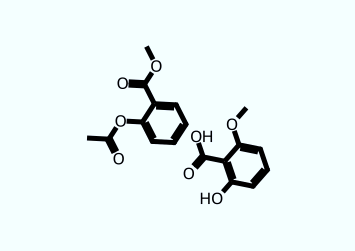 COC(=O)c1ccccc1OC(C)=O.COc1cccc(O)c1C(=O)O